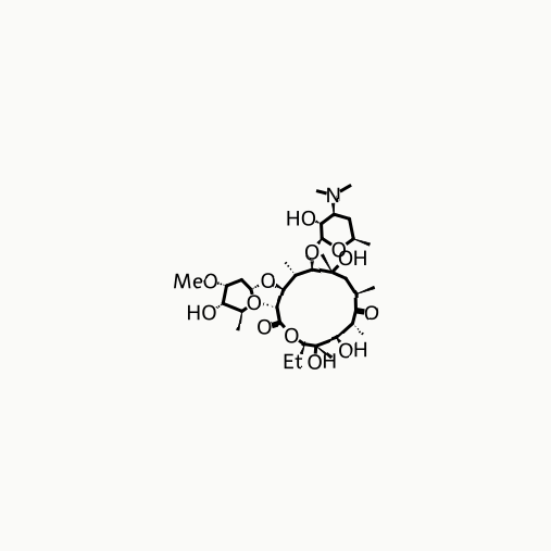 CC[C@H]1OC(=O)[C@H](C)[C@@H](O[C@H]2C[C@@H](OC)[C@@H](O)[C@H](C)O2)[C@H](C)[C@@H](O[C@@H]2O[C@H](C)C[C@H](N(C)C)[C@H]2O)[C@](C)(O)C[C@@H](C)C(=O)[C@H](C)[C@@H](O)[C@]1(C)O